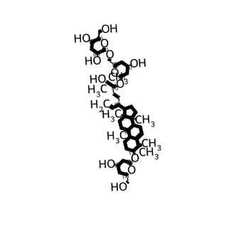 C=C[C@H](CC[C@@H](O[C@H]1C[C@@H](O)C[C@@H](CO[C@H]2O[C@H](CO)[C@@H](O)C[C@H]2O)O1)C(C)(C)O)C1CC[C@@]2(C)C3CC=C4C(CC[C@H](O[C@H]5C[C@@H](O)C[C@@H](CO)O5)C4(C)C)[C@]3(C)CC[C@]12C